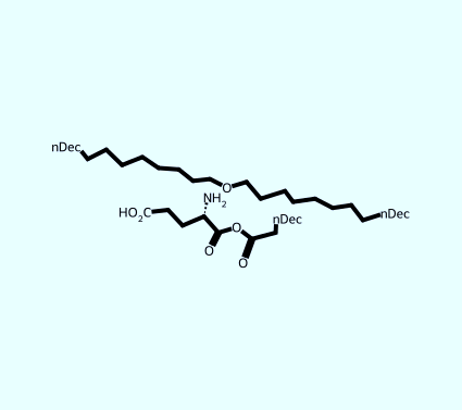 CCCCCCCCCCCC(=O)OC(=O)[C@@H](N)CCC(=O)O.CCCCCCCCCCCCCCCCCCOCCCCCCCCCCCCCCCCCC